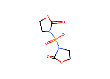 [O]P(=O)(N1CCOC1=O)N1CCOC1=O